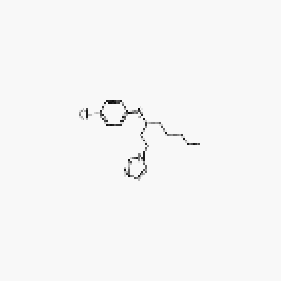 CCCCCC(CCn1ccnc1)Sc1ccc(Cl)cc1